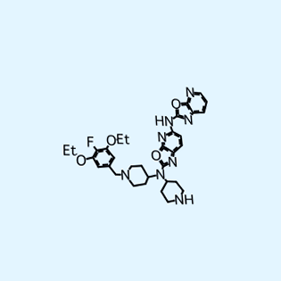 CCOc1cc(CN2CCC(N(c3nc4ccc(Nc5nc6cccnc6o5)nc4o3)C3CCNCC3)CC2)cc(OCC)c1F